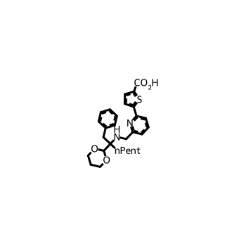 CCCCCC(Cc1ccccc1)(NCc1cccc(-c2ccc(C(=O)O)s2)n1)C1OCCCO1